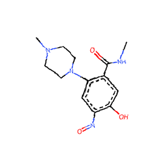 CNC(=O)c1cc(O)c(N=O)cc1N1CCN(C)CC1